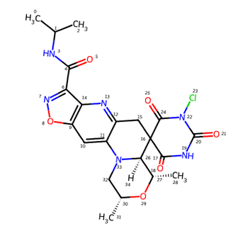 CC(C)NC(=O)c1noc2cc3c(nc12)CC1(C(=O)NC(=O)N(Cl)C1=O)[C@H]1[C@H](C)O[C@H](C)CN31